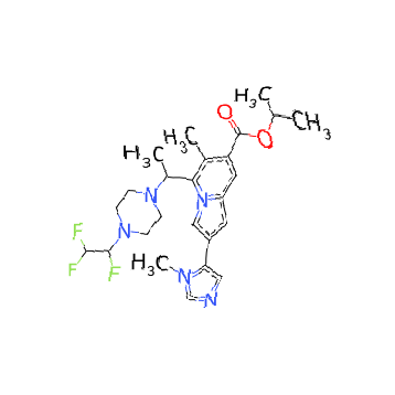 Cc1c(C(=O)OC(C)C)cc2cc(-c3cncn3C)cn2c1C(C)N1CCN(C(F)C(F)F)CC1